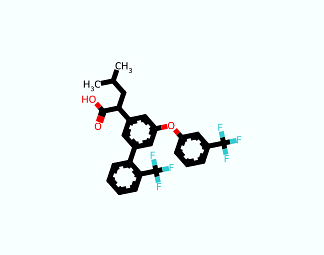 CC(C)CC(C(=O)O)c1cc(Oc2cccc(C(F)(F)F)c2)cc(-c2ccccc2C(F)(F)F)c1